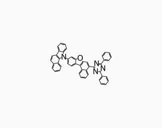 c1ccc(-c2nc(-c3ccccc3)nc(-c3cc4oc5cc(-n6c7ccccc7c7ccc8ccccc8c76)ccc5c4c4ccccc34)n2)cc1